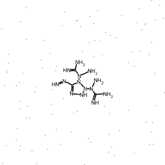 N=NC1=NNN(N(N)C(=N)N)N1N(N)C(=N)N